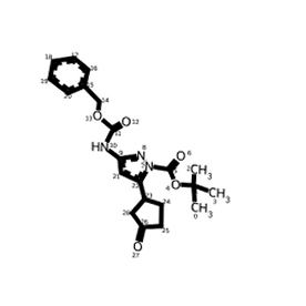 CC(C)(C)OC(=O)n1nc(NC(=O)OCc2ccccc2)cc1C1CCC(=O)C1